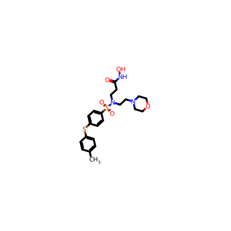 Cc1ccc(Sc2ccc(S(=O)(=O)N(CCC(=O)NO)CCN3CCOCC3)cc2)cc1